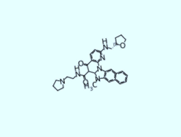 CN1c2cc3ccccc3cc2N2c3nc(NC[C@@H]4CCCO4)ccc3C(=O)C(C(=O)NCCN3CCCC3)C12